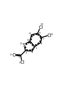 O=C(Cl)c1cc2cc(Cl)c(Cl)cc2s1